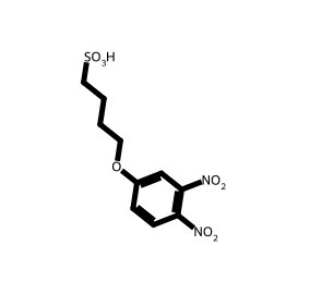 O=[N+]([O-])c1ccc(OCCCCS(=O)(=O)O)cc1[N+](=O)[O-]